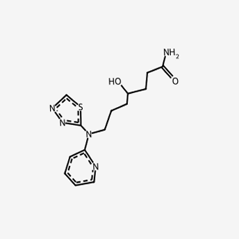 NC(=O)CCC(O)CCCN(c1ccccn1)c1nncs1